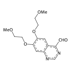 COCCOc1cc2ncnc(C=O)c2cc1OCCOC